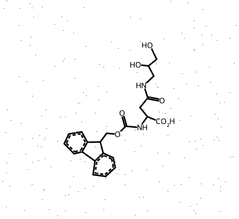 O=C(CC(NC(=O)OCC1c2ccccc2-c2ccccc21)C(=O)O)NCC(O)CO